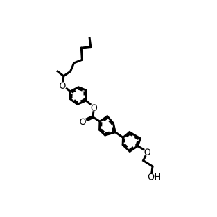 CCCCCCC(C)Oc1ccc(OC(=O)c2ccc(-c3ccc(OCCO)cc3)cc2)cc1